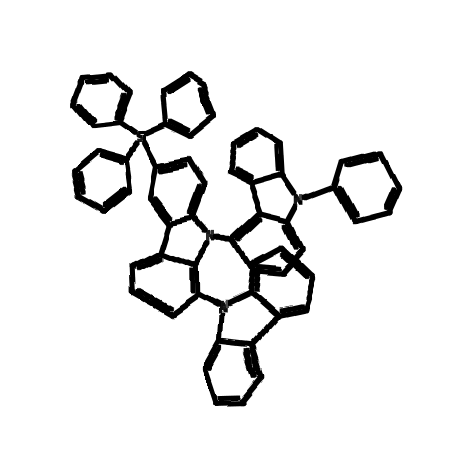 c1ccc(-n2c3ccccc3c3c(-n4c5ccc([Si](c6ccccc6)(c6ccccc6)c6ccccc6)cc5c5cccc(-n6c7ccccc7c7ccccc76)c54)cccc32)cc1